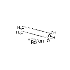 CCCCCCCCCCCCCCC(=O)O.CCCCCCCCCCCCCCC(=O)O.OCC(O)CO